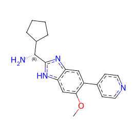 COc1cc2[nH]c([C@H](N)C3CCCC3)nc2cc1-c1ccncc1